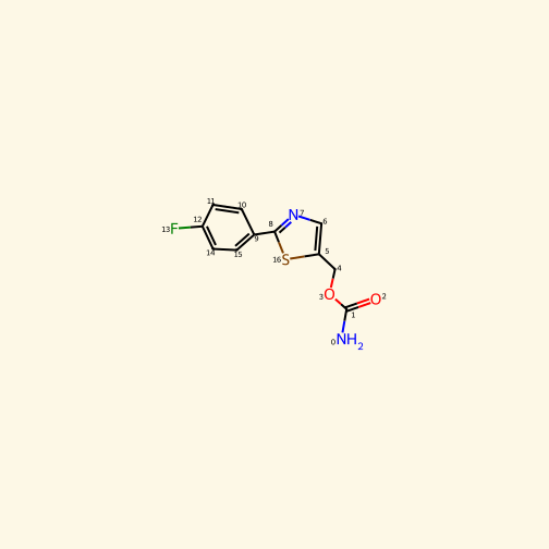 NC(=O)OCc1cnc(-c2ccc(F)cc2)s1